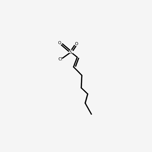 CCCCC/C=C/S(=O)(=O)Cl